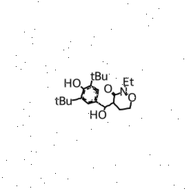 CCN1OCCC(C(O)c2cc(C(C)(C)C)c(O)c(C(C)(C)C)c2)C1=O